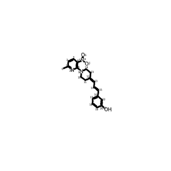 Cc1ccc([N+](=O)[O-])c(N2CCC(=C/C=C/c3cccc(O)c3)CC2)n1